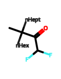 CCCCCCCC(C)(CCCCCC)C(=O)C(F)F